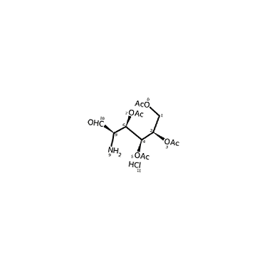 CC(=O)OC[C@@H](OC(C)=O)[C@@H](OC(C)=O)[C@H](OC(C)=O)[C@@H](N)C=O.Cl